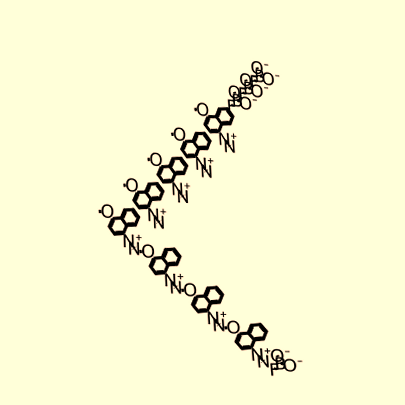 COc1ccc([N+]#N)c2ccccc12.COc1ccc([N+]#N)c2ccccc12.COc1ccc([N+]#N)c2ccccc12.COc1ccc([N+]#N)c2ccccc12.COc1ccc([N+]#N)c2ccccc12.COc1ccc([N+]#N)c2ccccc12.COc1ccc([N+]#N)c2ccccc12.COc1ccc([N+]#N)c2ccccc12.[O-]B([O-])F.[O-]B([O-])F.[O-]B([O-])F.[O-]B([O-])F